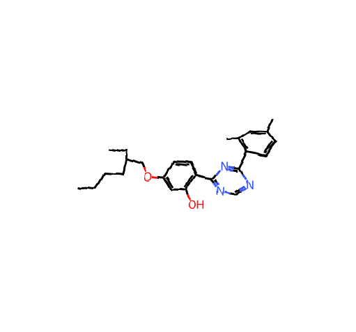 CCCCC(CC)COc1ccc(-c2ncnc(-c3ccc(C)cc3C)n2)c(O)c1